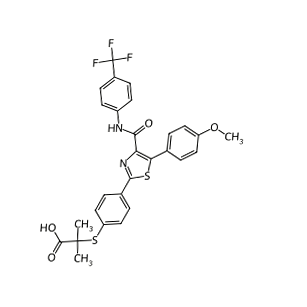 COc1ccc(-c2sc(-c3ccc(SC(C)(C)C(=O)O)cc3)nc2C(=O)Nc2ccc(C(F)(F)F)cc2)cc1